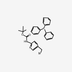 CC(C)(C)OC(=O)Nc1ccc(CBr)cn1.c1ccc(P(c2ccccc2)c2ccccc2)cc1